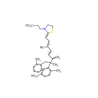 C=C(/C=C/C(C#N)=C/C=C1\SCCN1CCC(=O)O)C(C)(Cc1ccccc1[N+](=O)[O-])c1cc(C(=O)O)ccc1C